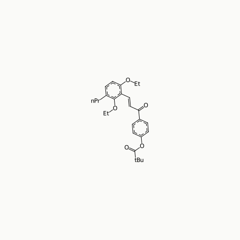 CCCc1ccc(OCC)c(C=CC(=O)c2ccc(OC(=O)C(C)(C)C)cc2)c1OCC